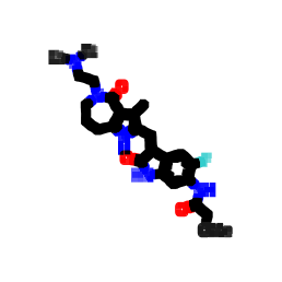 CCN(CC)CCN1CCCc2[nH]c(/C=C3\C(=O)Nc4cc(NC(=O)COC)c(F)cc43)c(C)c2C1=O